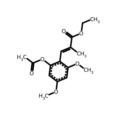 CCOC(=O)C(C)=Cc1c(OC)cc(OC)cc1OC(C)=O